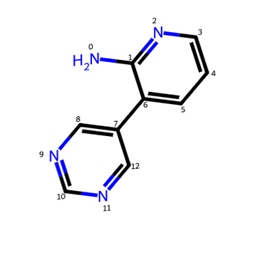 Nc1ncccc1-c1cncnc1